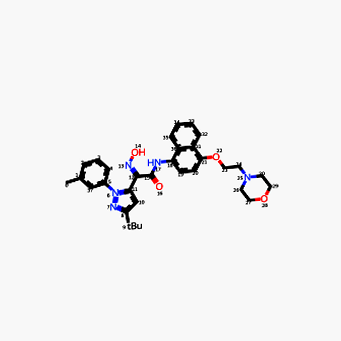 Cc1cccc(-n2nc(C(C)(C)C)cc2C(=NO)C(=O)Nc2ccc(OCCN3CCOCC3)c3ccccc23)c1